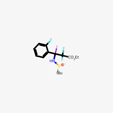 CCOC(=O)C(F)(F)[C@](I)(N[S@+]([O-])C(C)(C)C)c1ccccc1F